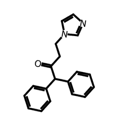 O=C(CCn1ccnc1)C(c1ccccc1)c1ccccc1